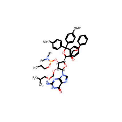 COc1ccc(C(OC(C(=O)COc2ccccc2)[C@H]2O[C@@H](n3cnc4c(=O)[nH]c(N)nc43)[C@H](OCOCC(C(F)(F)F)C(F)(F)F)[C@@H]2OP(OCCC#N)N(C(C)C)C(C)C)(c2ccccc2)c2ccc(OC)cc2)cc1